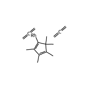 C=C=C.C=C=C.CC1=C(C)C(C)(C)[C]([Rh])=C1C